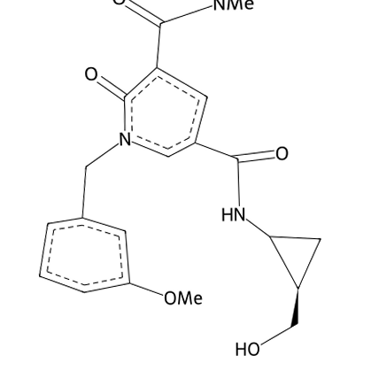 CNC(=O)c1cc(C(=O)NC2C[C@H]2CO)cn(Cc2cccc(OC)c2)c1=O